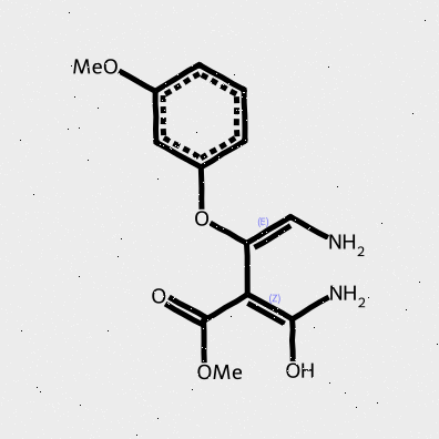 COC(=O)C(=C(/N)O)/C(=C\N)Oc1cccc(OC)c1